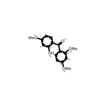 COc1ccc(C(=O)c2ccc(OC)cc2OC)c(O)c1